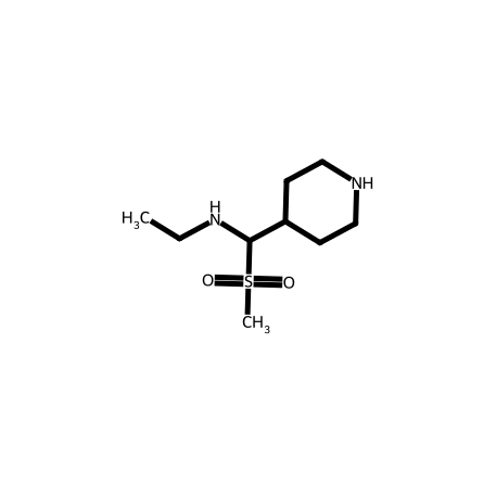 CCNC(C1CCNCC1)S(C)(=O)=O